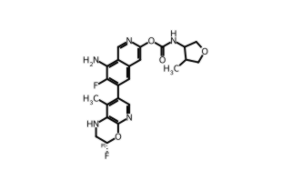 Cc1c(-c2cc3cc(OC(=O)NC4COCC4C)ncc3c(N)c2F)cnc2c1NC[C@@H](F)O2